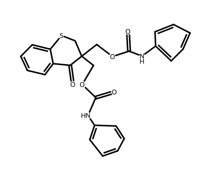 O=C(Nc1ccccc1)OCC1(COC(=O)Nc2ccccc2)CSc2ccccc2C1=O